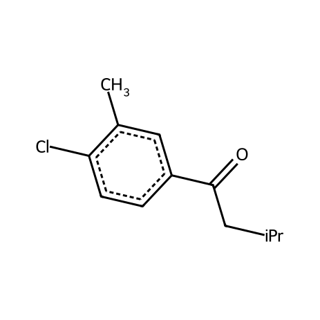 Cc1cc(C(=O)CC(C)C)ccc1Cl